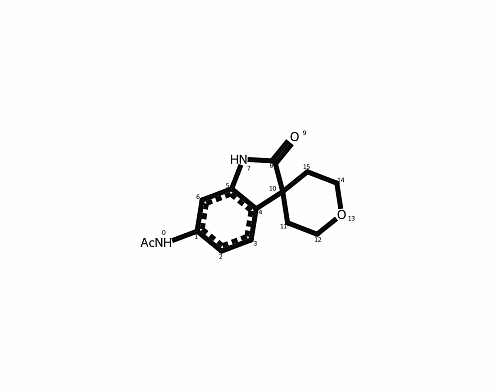 CC(=O)Nc1ccc2c(c1)NC(=O)C21CCOCC1